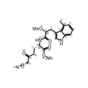 CO[C@@H](Cc1c[nH]c2cccc(C)c12)C(=O)N[C@@H](CCC(=O)C=[N+]=[N-])C(=O)OC(C)C